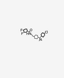 CN(C)C(c1ccc(Cl)cc1)C1CCC(CCNC(=O)c2ccc(F)c(F)c2)CC1